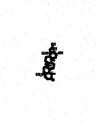 C=C1CC[C@]2(C(=O)O)CC[C@]3(C)C(=CCC4[C@@]5(C)C[C@@H](O)[C@@H](O)[C@](C=O)(CCO)C5CC[C@]43C)C2[C@H]1C